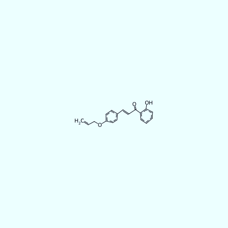 C=CCOc1ccc(C=CC(=O)c2ccccc2O)cc1